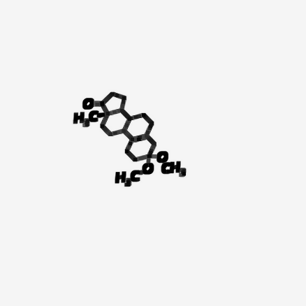 COC1(OC)CCC2=C(CCC3C2CC[C@]2(C)C(=O)CCC32)C1